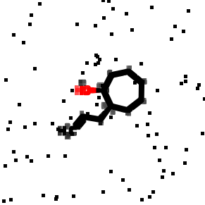 C=CC[C@@H]1CCCCC[C@@H]1O